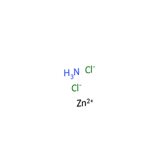 N.[Cl-].[Cl-].[Zn+2]